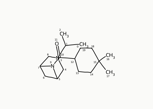 CC(C)N1CC2CC(C1)N2C(=O)C1CCC(C)(C)CC1